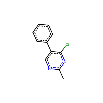 Cc1ncc(-c2ccccc2)c(Cl)n1